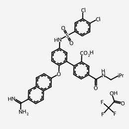 CC(C)CNC(=O)c1ccc(-c2cc(NS(=O)(=O)c3ccc(Cl)c(Cl)c3)ccc2Oc2ccc3cc(C(=N)N)ccc3c2)c(C(=O)O)c1.O=C(O)C(F)(F)F